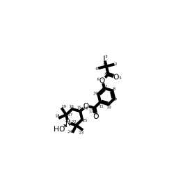 CC(C)(I)C(=O)Oc1cccc(C(=O)OC2CC(C)(C)N(O)C(C)(C)C2)c1